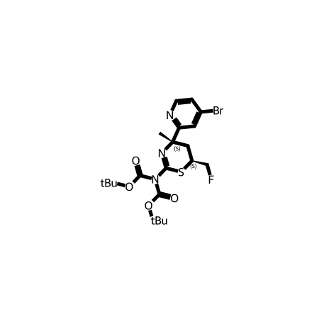 CC(C)(C)OC(=O)N(C(=O)OC(C)(C)C)C1=N[C@](C)(c2cc(Br)ccn2)C[C@@H](CF)S1